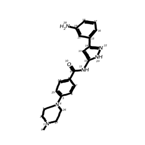 CN1CCN(c2ccc(C(=O)Nc3cc(-c4cccc(N)c4)n[nH]3)cc2)CC1